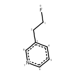 FCCc1cc[c]nc1